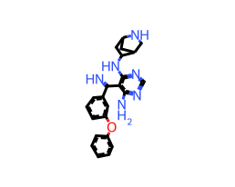 N=C(c1cccc(Oc2ccccc2)c1)c1c(N)ncnc1NC1CC2CC1CN2